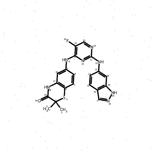 CC1(C)Sc2ccc(Nc3nc(Nc4ccc5cn[nH]c5c4)ncc3F)cc2NC1=O